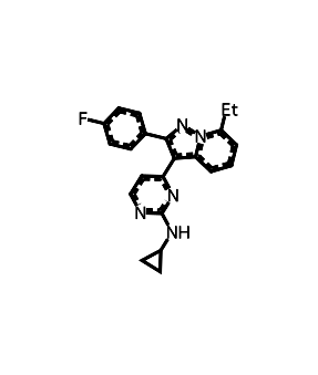 CCc1cccc2c(-c3ccnc(NC4CC4)n3)c(-c3ccc(F)cc3)nn12